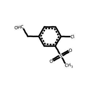 CS(=O)(=O)c1cc(CC=O)ccc1Cl